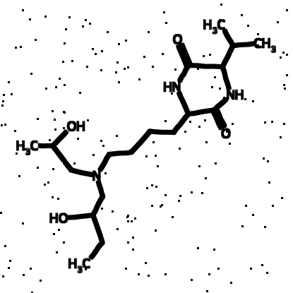 CCC(O)CN(CCCCC1NC(=O)C(C(C)C)NC1=O)CC(C)O